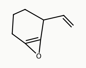 C=CC1CCCC2=C1O2